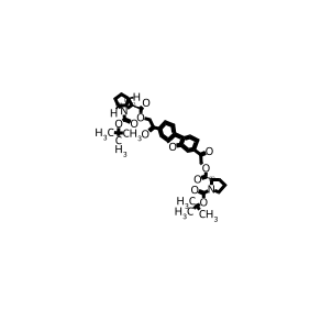 CC(C)(C)OC(=O)N1CCC[C@H]1C(=O)OCC(=O)c1ccc2c(c1)oc1cc(C(=O)COC(=O)[C@@H]3[C@H]4CC[C@H](C4)N3C(=O)OC(C)(C)C)ccc12